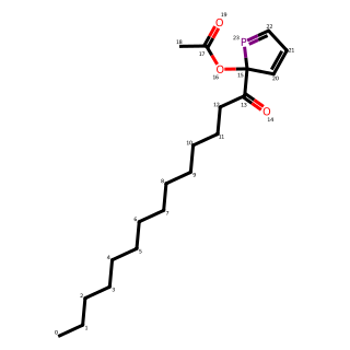 CCCCCCCCCCCCCC(=O)C1(OC(C)=O)C=CC=P1